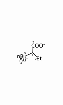 CCCCC(CC)C(=O)[O-].[Au+]